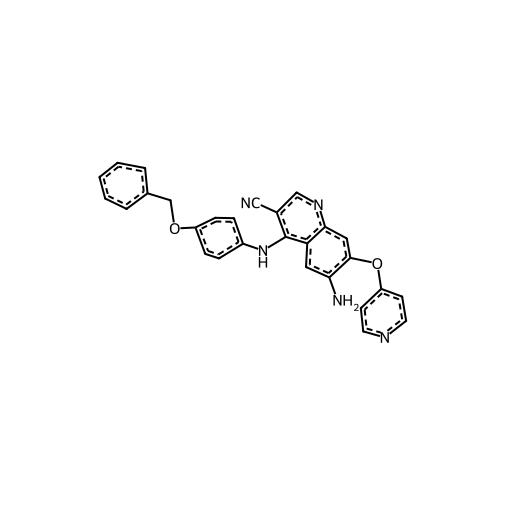 N#Cc1cnc2cc(Oc3ccncc3)c(N)cc2c1Nc1ccc(OCc2ccccc2)cc1